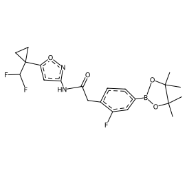 CC1(C)OB(c2ccc(CC(=O)Nc3cc(C4(C(F)F)CC4)on3)c(F)c2)OC1(C)C